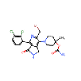 CC1(OC(N)=O)CCN(c2c(CBr)nc(-c3cccc(Cl)c3Cl)c3c2CNC3=O)CC1